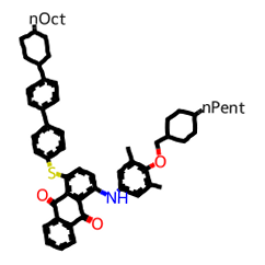 CCCCCCCCC1CCC(c2ccc(-c3ccc(Sc4ccc(Nc5cc(C)c(OCC6CCC(CCCCC)CC6)c(C)c5)c5c4C(=O)c4ccccc4C5=O)cc3)cc2)CC1